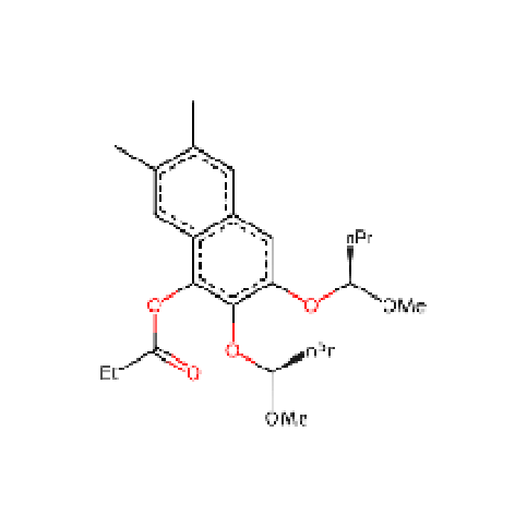 CCC[C@@H](OC)Oc1cc2cc(C)c(C)cc2c(OC(=O)CC)c1O[C@@H](CCC)OC